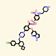 O=C(NS(=O)(=O)c1ccc(NCC2CCNCC2)c([N+](=O)[O-])c1)c1ccc(N2CCN(CC3=C(c4ccc(Cl)cc4)CC4(CCC4)CC3)CC2)cc1Oc1cnc2[nH]ccc2c1